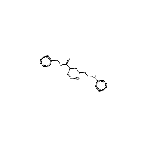 O=C(OCc1ccccc1)C(/C=N\O)CCCCOc1ccccc1